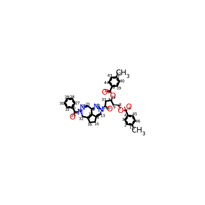 Cc1ccc(C(=O)OC[C@H]2O[C@@H](N3C=C4CCC5=C4C(=N3)C=NN(C(=O)c3ccccc3)C5)C[C@@H]2OC(=O)c2ccc(C)cc2)cc1